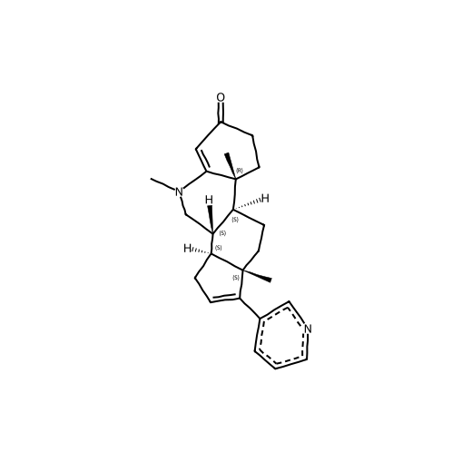 CN1C[C@@H]2[C@H](CC[C@]3(C)C(c4cccnc4)=CC[C@@H]23)[C@@]2(C)CCC(=O)C=C12